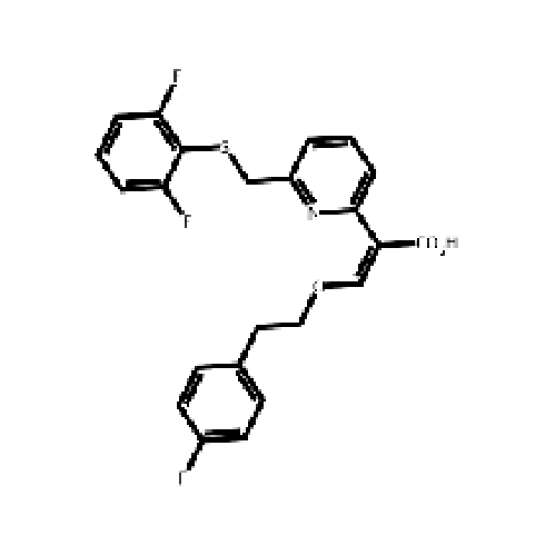 O=C(O)C(=COCCc1ccc(F)cc1)c1cccc(CSc2c(F)cccc2F)n1